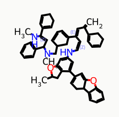 C=C(/C=C(\C=C/Nc1cc2c(c(C3=CCC4C(=C3)Oc3ccccc34)c1)CC(C)O2)C1=CC=CC(CN(C)C(/C=C(\NC)C2=CCCC=C2)c2ccccc2)C1)C1=CC=CCC1